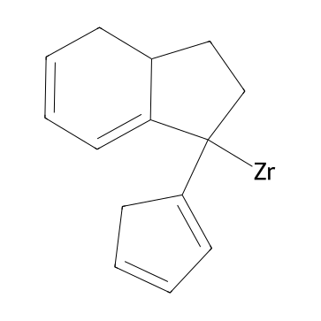 [Zr][C]1(C2=CC=CC2)CCC2CC=CC=C21